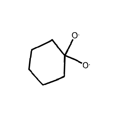 [O]C1([O])CCCCC1